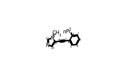 CCCc1ccccc1C#Cc1cncn1C